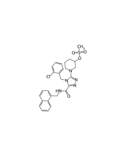 CS(=O)(=O)OC1CCCN(c2nnc(C(=O)NCc3cccc4ccccc34)n2Cc2ccccc2Cl)C1